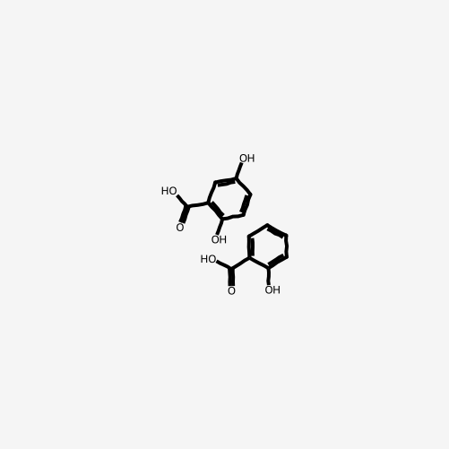 O=C(O)c1cc(O)ccc1O.O=C(O)c1ccccc1O